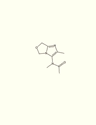 CC(=O)N(C)c1c(C)nc2n1COC2